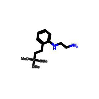 CO[Si](CCc1ccccc1NCCN)(OC)OC